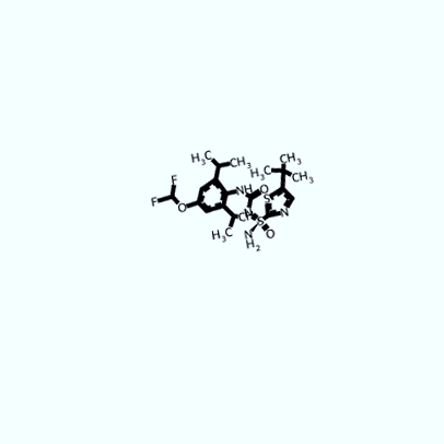 CC(C)c1cc(OC(F)F)cc(C(C)C)c1NC(=O)N=[S@@](N)(=O)c1ncc(C(C)(C)C)s1